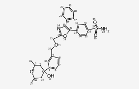 CC1CC(O)(c2cccc(COCc3nc(-c4ccccc4)c(-c4ccc(S(N)(=O)=O)cc4)o3)c2)CC(C)O1